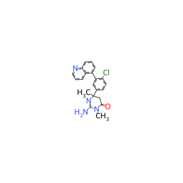 CN1C(=O)CC(C)(c2ccc(Cl)c(-c3cccc4ncccc34)c2)N=C1N